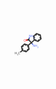 Cc1ccc(C(N)(C(N)=O)c2ccccc2)cc1